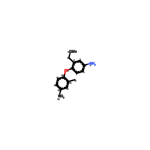 COCc1cc(N)ccc1Oc1ccc([N+](=O)[O-])cc1C